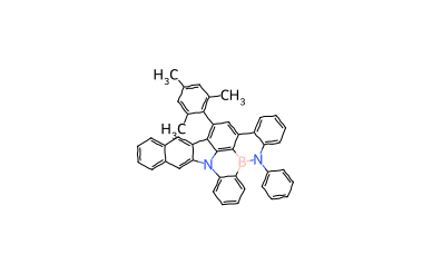 Cc1cc(C)c(-c2cc3c4c5c2c2cc6ccccc6cc2n5-c2ccccc2B4N(c2ccccc2)c2ccccc2-3)c(C)c1